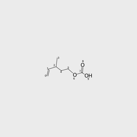 C=CC(C)CCOC(=O)O